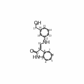 O=C1Nc2ccccc2/C1=C\Nc1cccc(CO)c1